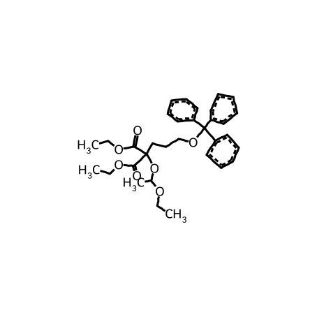 CCOC(=O)C(CCCOC(c1ccccc1)(c1ccccc1)c1ccccc1)(OC(C)OCC)C(=O)OCC